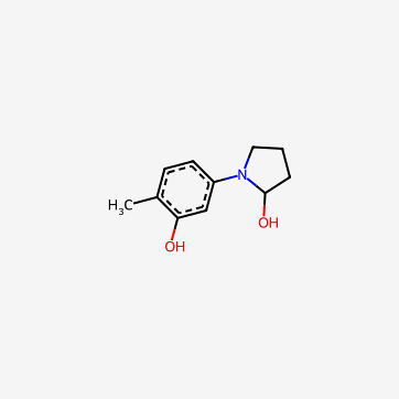 Cc1ccc(N2CCCC2O)cc1O